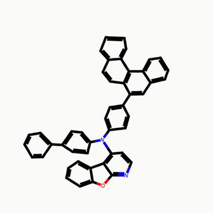 c1ccc(-c2ccc(N(c3ccc(-c4cc5ccccc5c5c4ccc4ccccc45)cc3)c3ccnc4oc5ccccc5c34)cc2)cc1